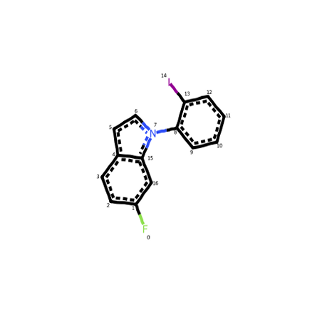 Fc1ccc2ccn(-c3ccccc3I)c2c1